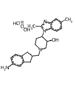 Cc1ccc2c(c1)nc(C)n2C1CCN(CC2Cc3ccc(N)cc3C2)CC1O.Cl.Cl.Cl